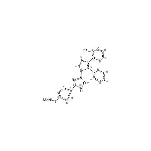 CNCc1ccc(C2N=C(c3nnn(-c4ccccc4F)c3-c3ccncc3)ON2)cc1